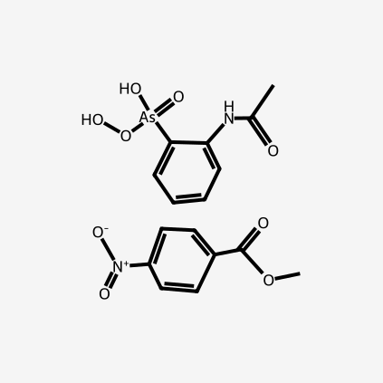 CC(=O)Nc1ccccc1[As](=O)(O)OO.COC(=O)c1ccc([N+](=O)[O-])cc1